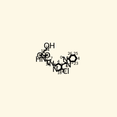 Cn1c(-c2cc(N3CC(NS(=O)(=O)CCO)C3)ncc2Cl)nc2ccccc21